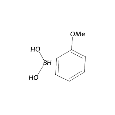 COc1ccccc1.OBO